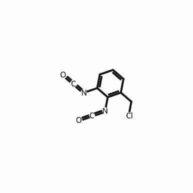 O=C=Nc1cccc(CCl)c1N=C=O